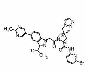 CC(=O)c1nn(CC(=O)N2C[C@](F)(Cn3ccnn3)C[C@H]2C(=O)Nc2cccc(Br)n2)c2ccc(-c3cnc(C)nc3)cc12